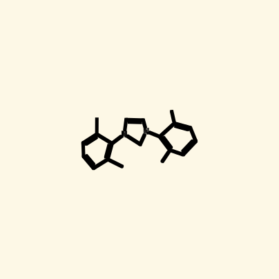 Cc1cccc(C)c1N1C=CN(c2c(C)cccc2C)C1